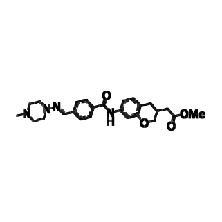 COC(=O)CC1COc2cc(NC(=O)c3ccc(C=NN4CCN(C)CC4)cc3)ccc2C1